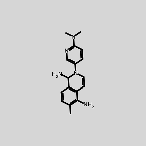 Cc1ccc2c(c1N)C=CN(c1ccc(N(C)C)nc1)C2N